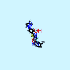 Cc1ccn(-c2ccc(-c3nnc(OC4CC5CCC(C)C(N5)C4F)s3)c(O)c2)n1